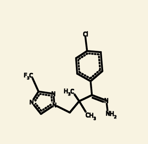 CC(C)(Cn1cnc(C(F)(F)F)n1)C(=NN)c1ccc(Cl)cc1